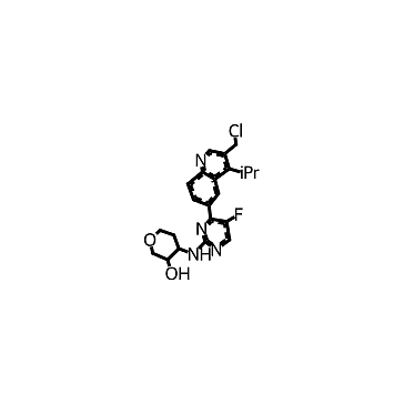 CC(C)c1c(CCl)cnc2ccc(-c3nc(NC4CCOCC4O)ncc3F)cc12